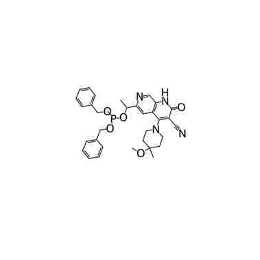 COC1(C)CCN(c2c(C#N)c(=O)[nH]c3cnc(C(C)OP(OCc4ccccc4)OCc4ccccc4)cc23)CC1